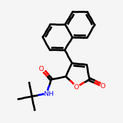 CC(C)(C)NC(=O)C1OC(=O)C=C1c1cccc2ccccc12